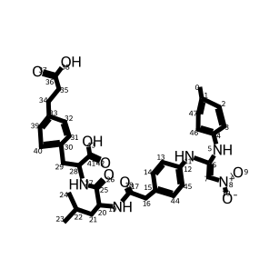 Cc1ccc(NC(=C[N+](=O)[O-])Nc2ccc(CC(=O)NC(CC(C)C)C(=O)NC(Cc3ccc(CCC(=O)O)cc3)C(=O)O)cc2)cc1